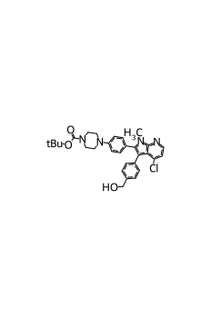 Cn1c(-c2ccc(N3CCN(C(=O)OC(C)(C)C)CC3)cc2)c(-c2ccc(CO)cc2)c2c(Cl)ccnc21